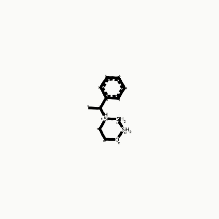 CC(c1ccccc1)[SiH]1CCO[SiH2][SiH2]1